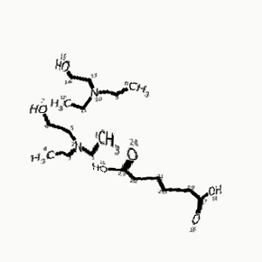 CCN(CC)CCO.CCN(CC)CCO.O=C(O)CCCCC(=O)O